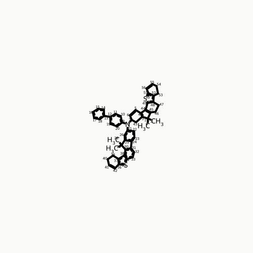 CC1(C)C2=C(C=CC(N(c3ccc(-c4ccccc4)cc3)c3ccc4c(c3)C(C)(C)c3c-4ccc4sc5c(c34)CCC=C5)C2)C2=C1CCc1c2sc2c1CCC=C2